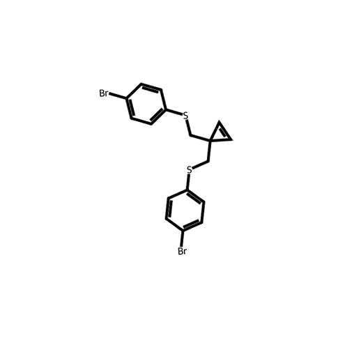 Brc1ccc(SCC2(CSc3ccc(Br)cc3)C=C2)cc1